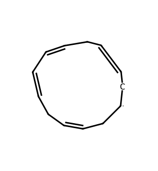 [CH]1CC=CCC=CC=CCC=CC1